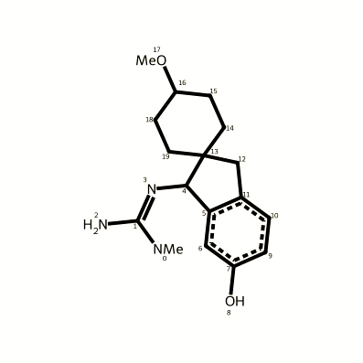 CN/C(N)=N\C1c2cc(O)ccc2CC12CCC(OC)CC2